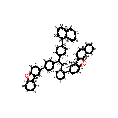 CC(c1ccccc1-c1ccc2oc3c4ccccc4ccc3c2c1)C(c1ccc(-c2ccc3oc4ccccc4c3c2)cc1)c1ccc(-c2cccc3ccccc23)cc1